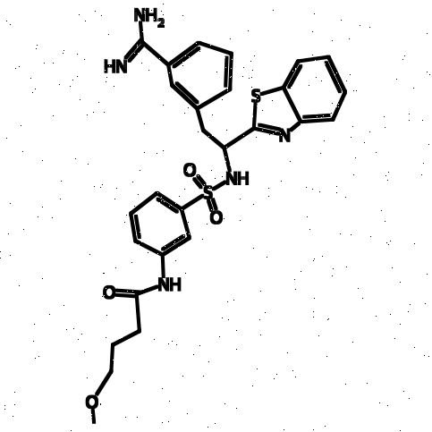 COCCCC(=O)Nc1cccc(S(=O)(=O)NC(Cc2cccc(C(=N)N)c2)c2nc3ccccc3s2)c1